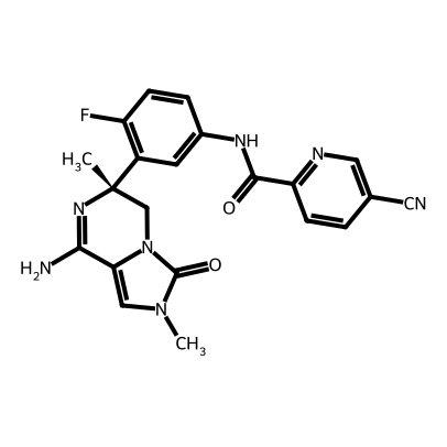 Cn1cc2n(c1=O)C[C@@](C)(c1cc(NC(=O)c3ccc(C#N)cn3)ccc1F)N=C2N